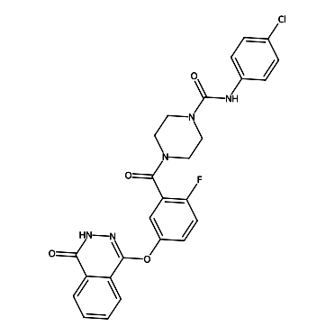 O=C(Nc1ccc(Cl)cc1)N1CCN(C(=O)c2cc(Oc3n[nH]c(=O)c4ccccc34)ccc2F)CC1